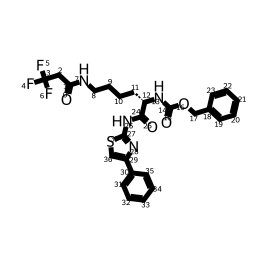 O=C(CC(F)(F)F)NCCCC[C@H](NC(=O)OCc1ccccc1)C(=O)Nc1nc(-c2ccccc2)cs1